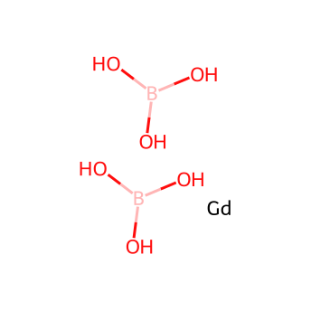 OB(O)O.OB(O)O.[Gd]